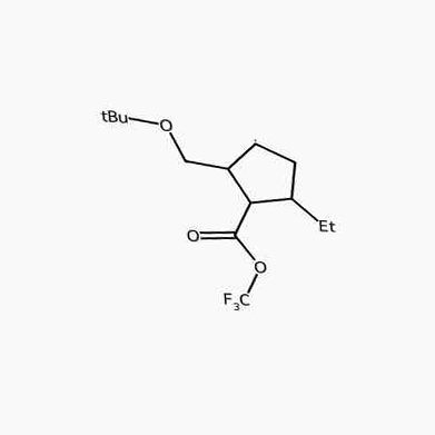 [CH2]CC1C[CH]C(COC(C)(C)C)C1C(=O)OC(F)(F)F